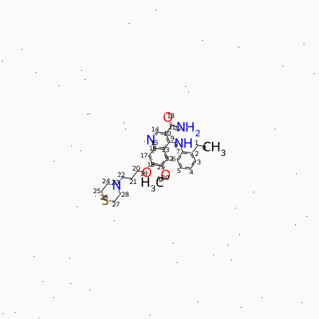 CCc1ccccc1Nc1c(C(N)=O)cnc2cc(OCCCN3CCSCC3)c(OC)cc12